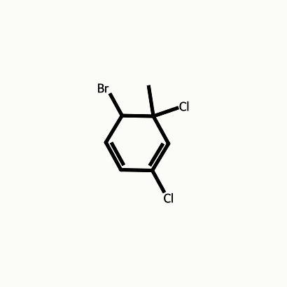 CC1(Cl)C=C(Cl)C=CC1Br